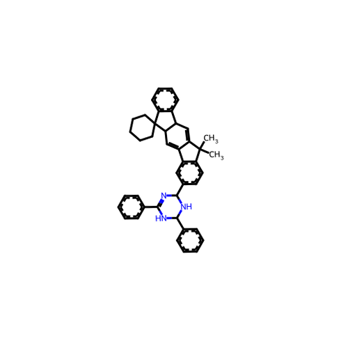 CC1(C)C2=CC3c4ccccc4C4(CCCCC4)C3C=C2c2cc(C3N=C(c4ccccc4)NC(c4ccccc4)N3)ccc21